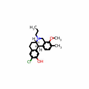 CCCN1Cc2c(ccc(C)c2OC)[C@H]2c3cc(O)c(Cl)cc3CC[C@@H]21